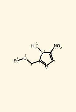 CCOCc1ncc([N+](=O)[O-])n1C